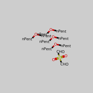 CCCCCOCCCCC.CCCCCOCCCCC.CCCCCOCCCCC.CCCCCOCCCCC.O=CS(=O)(=O)C=O